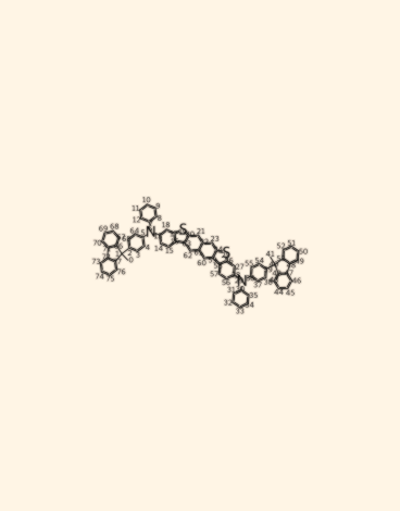 CC1(c2ccc(N(c3ccccc3)c3ccc4c(c3)sc3cc5cc6sc7cc(N(c8ccccc8)c8ccc(C9(C)c%10ccccc%10-c%10ccccc%109)cc8)ccc7c6cc5cc34)cc2)c2ccccc2-c2ccccc21